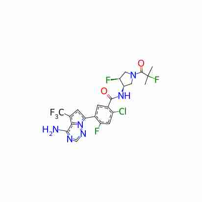 CC(C)(F)C(=O)N1C[C@H](F)[C@H](NC(=O)c2cc(-c3cc(C(F)(F)F)c4c(N)ncnn34)c(F)cc2Cl)C1